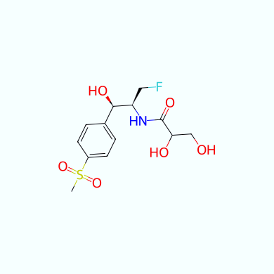 CS(=O)(=O)c1ccc([C@@H](O)[C@@H](CF)NC(=O)C(O)CO)cc1